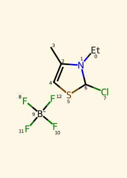 CCN1C(C)=CSC1Cl.F[B-](F)(F)F